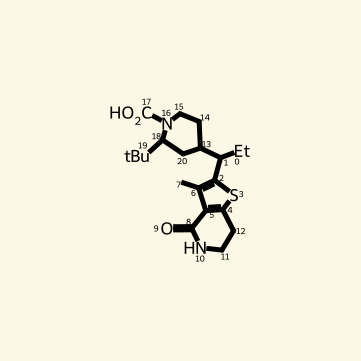 CCC(c1sc2c(c1C)C(=O)NCC2)C1CCN(C(=O)O)C(C(C)(C)C)C1